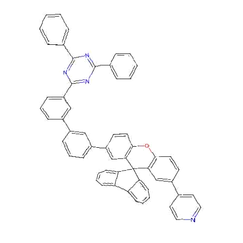 c1ccc(-c2nc(-c3ccccc3)nc(-c3cccc(-c4cccc(-c5ccc6c(c5)C5(c7cc(-c8ccncc8)ccc7O6)c6ccccc6-c6ccccc65)c4)c3)n2)cc1